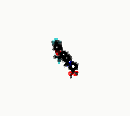 COC(=O)C1CCC2CC(C1)N(C(C)c1ccc3ccc(O[C@H]4CC[C@@H](C(F)(F)F)CC4)c(C(F)F)c3c1)C2